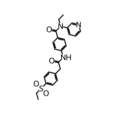 CCN(C(=O)c1ccc(NC(=O)Cc2ccc(S(=O)(=O)CC)cc2)cc1)c1cccnc1